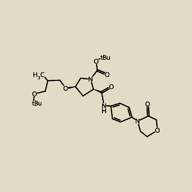 CC(CO[C@@H]1C[C@H](C(=O)Nc2ccc(N3CCOCC3=O)cc2)N(C(=O)OC(C)(C)C)C1)COC(C)(C)C